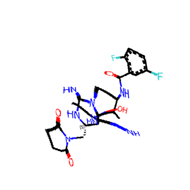 CC1C(NC(=O)c2cc(F)ccc2F)CN2C(=N)N[C@@H](CN3C(=O)CCC3=O)C3NC(=N)N(O)C132